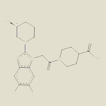 CNC(=O)C1CCN(C(=O)Cn2c(N3CC[C@@H](F)[C@H](N)C3)nc3cc(F)c(F)cc32)CC1